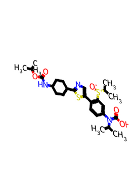 CC(C)OC(=O)NC1CCC(c2ncc(-c3ccc(N(C(=O)O)C(C)C)cc3[S+]([O-])C(C)C)s2)CC1